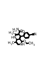 CCOC1NC=C(C)C2NC(C)=C(C(N)=O)C(c3ccc(C#N)cc3O)=C12